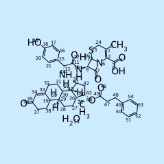 CC1=C(C(=O)O)N2C(=O)[C@@H](NC(=O)[C@H](N)c3ccc(O)cc3)[C@H]2SC1.C[C@]12CC[C@H]3[C@@H](CCC4=CC(=O)CC[C@@H]43)[C@@H]1CC[C@@H]2OC(=O)CCc1ccccc1.O